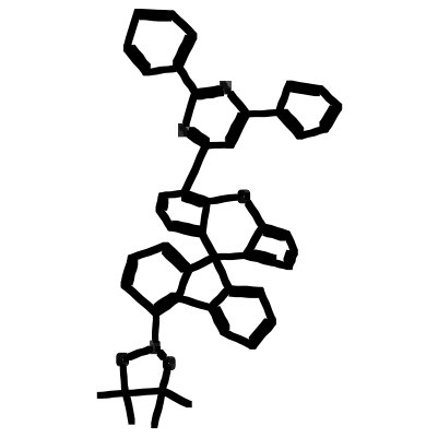 CC1(C)OB(c2cccc3c2-c2ccccc2C32c3ccccc3Oc3c(-c4cc(-c5ccccc5)nc(-c5ccccc5)n4)cccc32)OC1(C)C